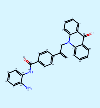 C=C(Cn1c2ccccc2c(=O)c2ccccc21)c1ccc(C(=O)Nc2ccccc2N)cc1